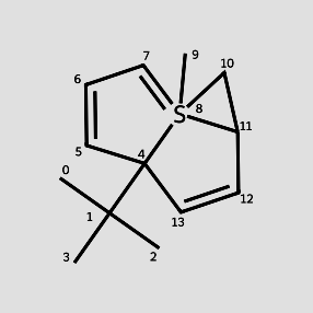 CC(C)(C)C12C=CC=S13(C)CC3C=C2